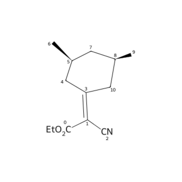 CCOC(=O)C(C#N)=C1C[C@@H](C)C[C@@H](C)C1